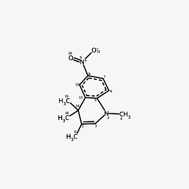 CC1=CN(C)c2ccc([N+](=O)[O-])cc2C1(C)C